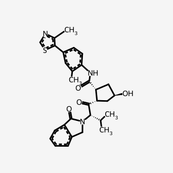 Cc1cc(-c2scnc2C)ccc1NC(=O)[C@@H]1C[C@@H](O)C[C@@H]1C(=O)[C@H](C(C)C)N1Cc2ccccc2C1=O